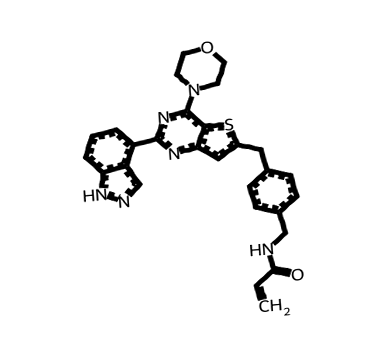 C=CC(=O)NCc1ccc(Cc2cc3nc(-c4cccc5[nH]ncc45)nc(N4CCOCC4)c3s2)cc1